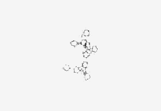 c1ccc(-c2ccc3c(c2)c2cc(-c4ccc5c(c4)c4ccccc4n5-c4nc(-c5ccccc5)c5c(n4)-c4ccccc4C5)ccc2n3-c2ccccc2)cc1